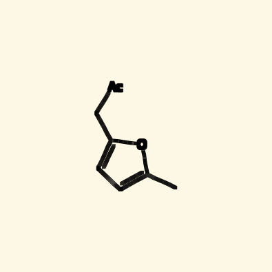 CC(=O)Cc1ccc(C)o1